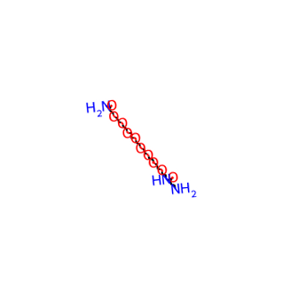 NCCC(=O)NCCOCCOCCOCCOCCOCCOCCOCCOCCC(N)=O